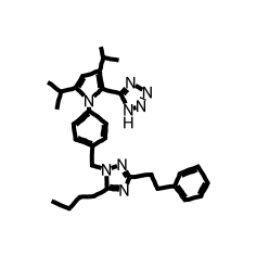 CCCCc1nc(CCc2ccccc2)nn1Cc1ccc(-n2c(C(C)C)cc(C(C)C)c2-c2nnn[nH]2)cc1